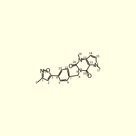 Cc1cc(-c2ccc(Cn3c(=O)c4c(ccn4C)n(C)c3=O)cc2)on1